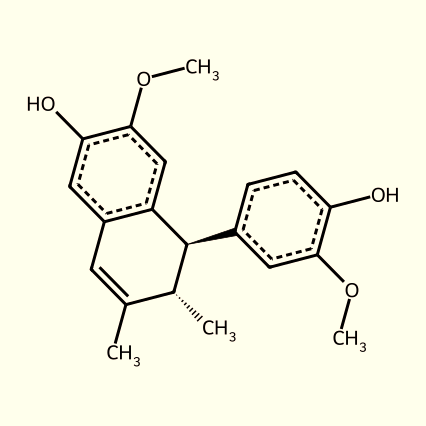 COc1cc([C@@H]2c3cc(OC)c(O)cc3C=C(C)[C@H]2C)ccc1O